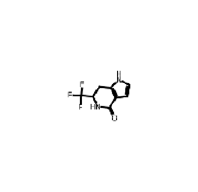 O=C1NC(C(F)(F)F)Cc2[nH]ccc21